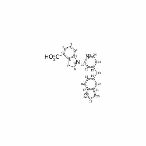 O=C(O)c1cccc2c1CCN2c1cc(Cc2ccc3occc3c2)ccn1